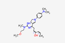 C/C=C\C(O)=C/C/C(=N/C(=N)N(C)CCOC)C1=CN(c2ccc(N(C)C)cc2)CC1